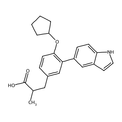 CC(Cc1ccc(OC2CCCC2)c(-c2ccc3[nH]ccc3c2)c1)C(=O)O